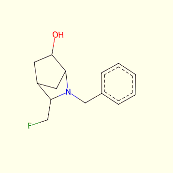 OC1CC2CC1N(Cc1ccccc1)C2CF